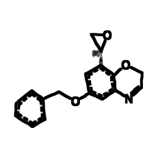 C1=Nc2cc(OCc3ccccc3)cc([C@@H]3CO3)c2OC1